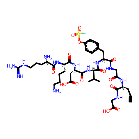 C#CC[C@H](NC(=O)CNC(=O)[C@H](Cc1ccc(OS(=O)(=O)F)cc1)NC(=O)[C@@H](NC(=O)[C@H](CC(=O)O)NC(=O)[C@H](CCCCN)NC(=O)[C@@H](N)CCCNC(=N)N)C(C)C)C(=O)NCC(=O)O